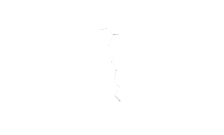 CCC(C)COCCCNC=O